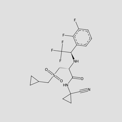 N#CC1(NC(=O)[C@H](CS(=O)(=O)CC2CC2)N[C@H](c2cccc(F)c2F)C(F)(F)F)CC1